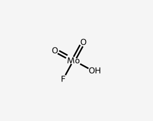 [O]=[Mo](=[O])([OH])[F]